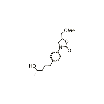 COCC1CN(c2ccc(CCC[C@H](C)O)cc2)C(=O)O1